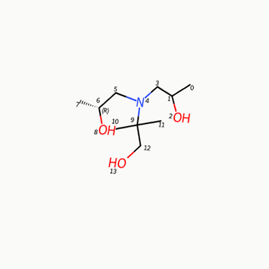 CC(O)CN(C[C@@H](C)O)C(C)(C)CO